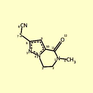 CN1CCn2nc(SC#N)cc2C1=O